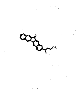 CCCC(C)c1ccc2cc3c(cc2c1)C(=O)c1cc2ccccc2cc1-3